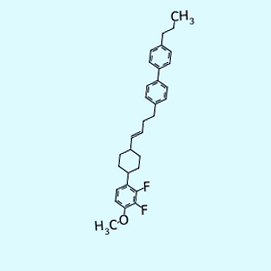 CCCc1ccc(-c2ccc(CC/C=C/C3CCC(c4ccc(OC)c(F)c4F)CC3)cc2)cc1